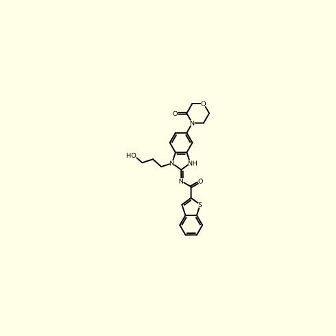 O=C(/N=c1\[nH]c2cc(N3CCOCC3=O)ccc2n1CCCO)c1cc2ccccc2s1